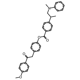 COc1ccc(C(=O)Cc2ccc(OC(=O)c3ccc(C(C)CN(C)c4ccccc4)cc3)cc2)cc1